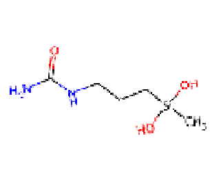 C[Si](O)(O)CCCNC(N)=O